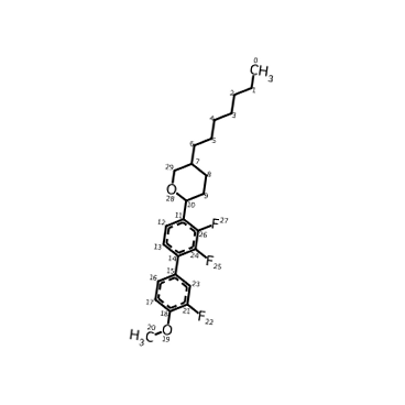 CCCCCCCC1CCC(c2ccc(-c3ccc(OC)c(F)c3)c(F)c2F)OC1